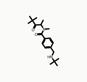 CC(C(=O)C(C)(C)C)N(C)C(=O)c1ccc(CNC(C)(C)C)cc1